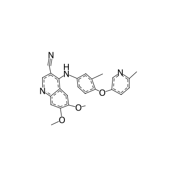 COc1cc2ncc(C#N)c(Nc3ccc(Oc4ccc(C)nc4)c(C)c3)c2cc1OC